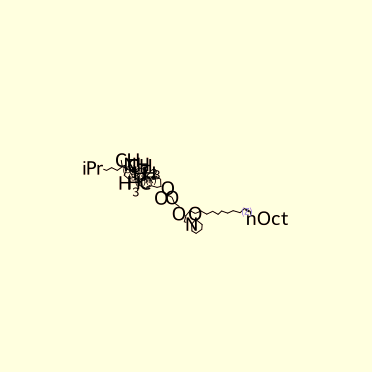 CCCCCCCC/C=C\CCCCCCCCOCC(CN1CCCCC1)OCCOC(=O)OC1CC[C@@]2(C)C(=CC[C@@H]3[C@@H]2CC[C@@]2(C)[C@H]3CC[C@]2(N)C(C)CCCC(C)C)C1